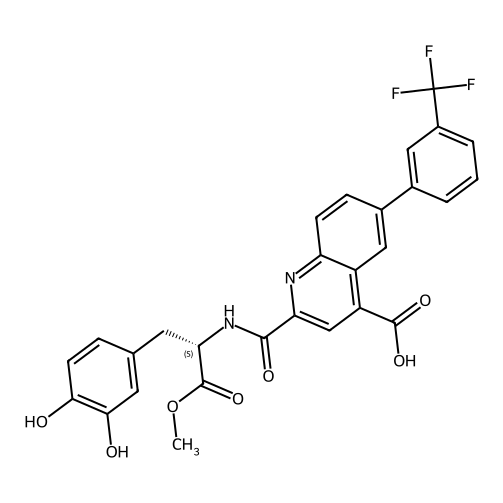 COC(=O)[C@H](Cc1ccc(O)c(O)c1)NC(=O)c1cc(C(=O)O)c2cc(-c3cccc(C(F)(F)F)c3)ccc2n1